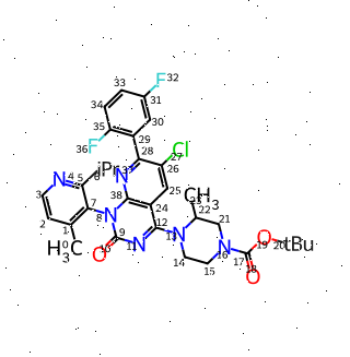 Cc1ccnc(C(C)C)c1-n1c(=O)nc(N2CCN(C(=O)OC(C)(C)C)CC2C)c2cc(Cl)c(-c3cc(F)ccc3F)nc21